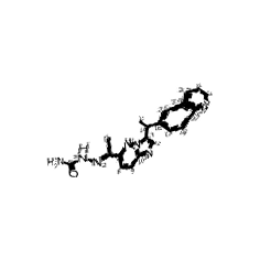 C/C(=N\NC(N)=O)c1ccc2ncc(C(C)c3ccc4ncccc4c3)n2n1